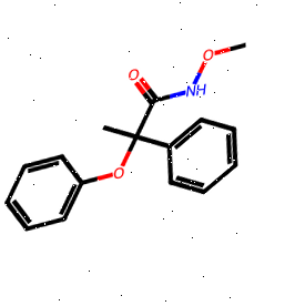 CONC(=O)C(C)(Oc1ccccc1)c1ccccc1